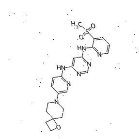 CS(=O)(=O)c1cccnc1Nc1cc(Nc2ccc(N3CCC4(CCO4)CC3)cn2)ncn1